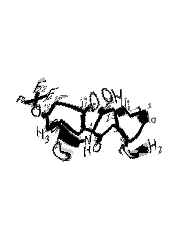 CC(=O)N[C@@]12C(=O)c3c(N)cccc3[C@]1(O)Oc1cc(OC(F)(F)F)ccc12